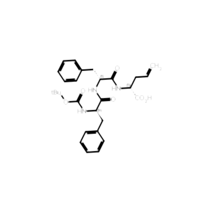 C=CC[C@@H](NC(=O)[C@@H](Cc1ccccc1)NC(=O)[C@@H](Cc1ccccc1)NC(=O)OC(C)(C)C)C(=O)O